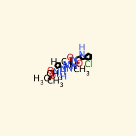 Cn1c(N[C@H]2CCC[C@H]2NC(=O)OC(C)(C)C)nc2c1c(=O)n(Cc1cc3c(Cl)cccc3[nH]1)c(=O)n2C